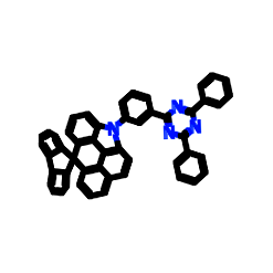 c1ccc(-c2nc(-c3ccccc3)nc(-c3cccc(-n4c5cccc6c5c5c7c(cccc7ccc54)C64c5ccccc5-c5ccccc54)c3)n2)cc1